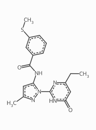 CCc1cc(=O)[nH]c(-n2nc(C)cc2NC(=O)c2cccc(SC)c2)n1